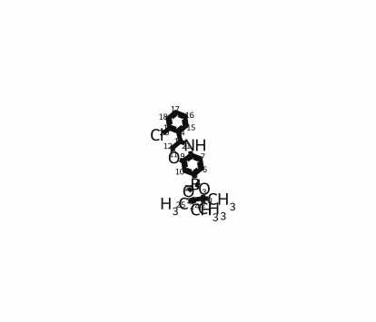 CC1(C)OB(c2ccc3c(c2)OCC(c2ccccc2Cl)N3)OC1(C)C